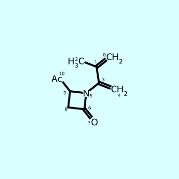 C=C(C)C(=C)N1C(=O)CC1C(C)=O